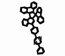 c1ccc(-c2cnc(-c3ccc(-c4cc5c(c6ccccc46)-c4c(c6ccccc6c6ccccc46)C54c5ccccc5-c5ccccc54)cc3)cn2)cc1